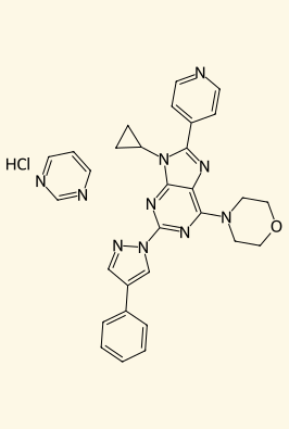 Cl.c1ccc(-c2cnn(-c3nc(N4CCOCC4)c4nc(-c5ccncc5)n(C5CC5)c4n3)c2)cc1.c1cncnc1